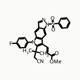 COC(=O)/C=C/c1c(C(C)(C)CC#N)n(-c2ccc(F)cc2)c2cc3cnn(S(=O)(=O)c4ccccc4)c3cc12